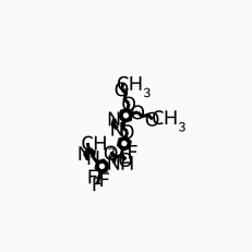 COCCOc1cc2ncnc(Oc3ccc(C(=O)C(=O)Nc4cc(-n5cnc(C)c5)cc(C(F)(F)F)c4)c(F)c3)c2cc1OCCOC